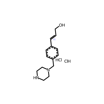 Cl.Cl.OC/C=C/c1ccc(CN2CCNCC2)cc1